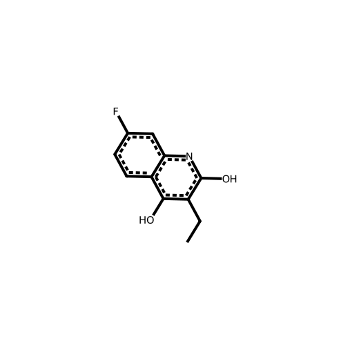 CCc1c(O)nc2cc(F)ccc2c1O